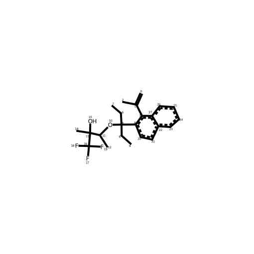 C=C(C)c1c(C(CC)(CC)OC(C)C(C)(O)C(F)(F)F)ccc2ccccc12